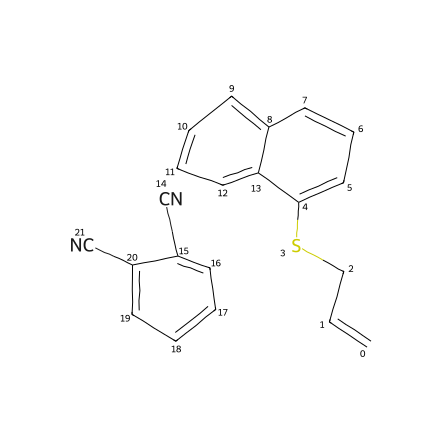 C=CCSc1cccc2ccccc12.N#Cc1ccccc1C#N